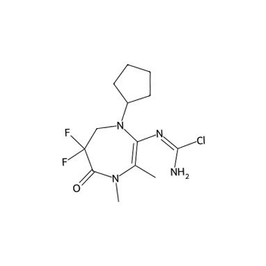 CC1=C(/N=C(\N)Cl)N(C2CCCC2)CC(F)(F)C(=O)N1C